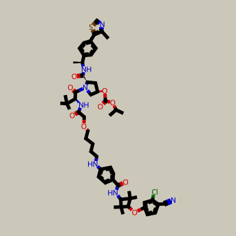 Cc1ncsc1-c1ccc([C@H](C)NC(=O)[C@@H]2C[C@@H](OC(=O)OC(C)C)CN2C(=O)[C@@H](NC(=O)COCCCCCNc2ccc(C(=O)NC3C(C)(C)C(Oc4ccc(C#N)c(Cl)c4)C3(C)C)cc2)C(C)(C)C)cc1